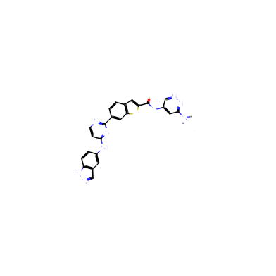 CN(C)c1cc(NC(=O)c2cc3ccc(-c4nccc(Nc5ccc6[nH]ncc6c5)n4)cc3s2)cnn1